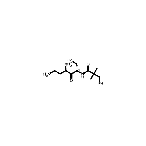 CC(C)(CS)C(=O)N[C@@H](CS)C(=O)C(N)CCN